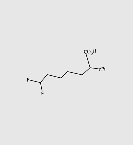 CCCC(CCCCC(F)F)C(=O)O